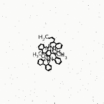 C=C/C=C\C1=CB2N3c4ccccc4C(C)(C)c4c5c6c(c(c43)N2[C@@H]2CC=CC=C12)C(C)(C)c1ccccc1N6B1c2ccccc2C2CC=CC=C2N15